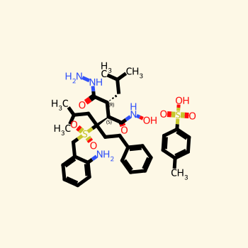 CC(C)C[C@@H](C(=O)NN)[C@@H](C(=O)NO)C(CCc1ccccc1)(CC(C)C)S(=O)(=O)Cc1ccccc1N.Cc1ccc(S(=O)(=O)O)cc1